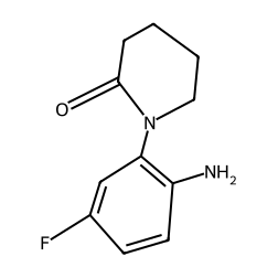 Nc1ccc(F)cc1N1CCCCC1=O